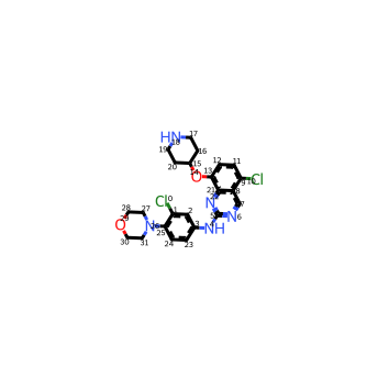 Clc1cc(Nc2ncc3c(Cl)ccc(OC4CCNCC4)c3n2)ccc1N1CCOCC1